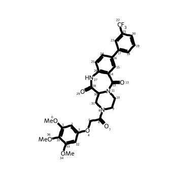 COc1cc(OCC(=O)N2CCN3C(=O)c4cc(-c5cccc(C(F)(F)F)c5)ccc4NC(=O)C3C2)cc(OC)c1OC